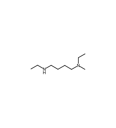 CCNCCCCN(C)CC